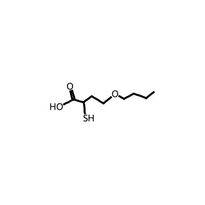 CCCCOCCC(S)C(=O)O